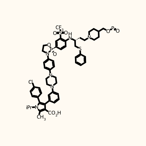 Cc1c(C(=O)O)c(-c2cccc(N3CCN(c4ccc(N5CCO[P@@]5(=O)c5ccc(N[C@H](CCN6CCC(COP=O)CC6)CSc6ccccc6)c(S(=O)(=O)C(F)(F)F)c5)cc4)CC3)c2)c(-c2ccc(Cl)cc2)n1C(C)C